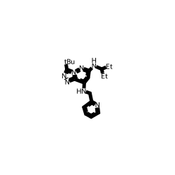 CCC(CC)Nc1cc(NCc2ccccn2)c2nnc(C(C)(C)C)n2n1